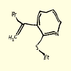 C=C(c1cccnc1SCC)C(C)C